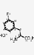 Cl.NC(Cc1cccc(F)c1)C(=O)O